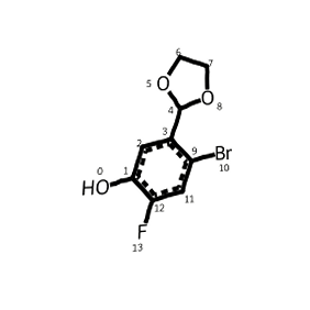 Oc1cc(C2OCCO2)c(Br)cc1F